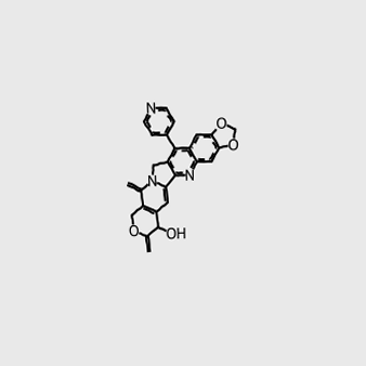 C=C1OCC2=C(C=C3c4nc5cc6c(cc5c(-c5ccncc5)c4CN3C2=C)OCO6)C1O